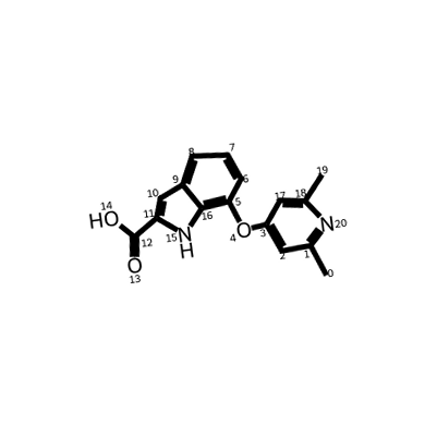 Cc1cc(Oc2cccc3cc(C(=O)O)[nH]c23)cc(C)n1